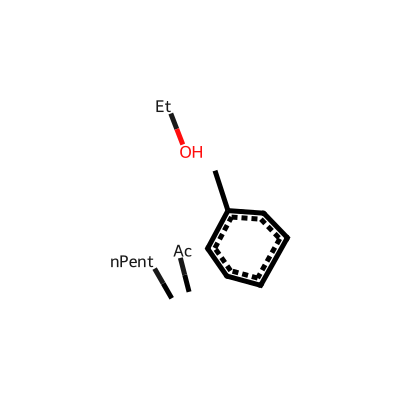 CC(C)=O.CCCCCC.CCO.Cc1ccccc1